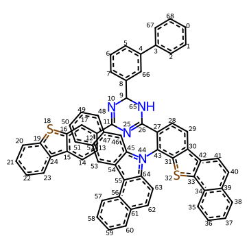 c1ccc(-c2cccc(C3N=C(c4ccc5c(c4)sc4ccccc45)N=C(c4ccc5c(sc6c7ccccc7ccc56)c4-n4c5cc6ccccc6cc5c5c6ccccc6ccc54)N3)c2)cc1